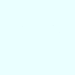 COC(=O)c1cccc(C(F)(F)F)c1.ClC1CC2CC12